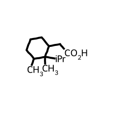 CC(C)C1(C)C(C)CCCC1CC(=O)O